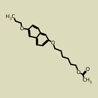 CCCOc1ccc2cc(OCCCCCCOC(C)=O)ccc2c1